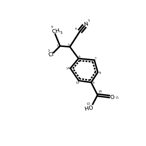 CC(Cl)C(C#N)c1ccc(C(=O)O)cc1